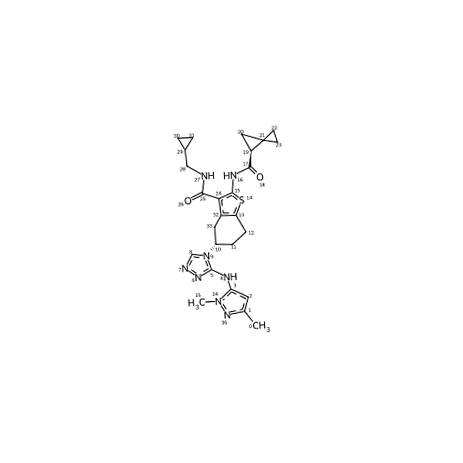 Cc1cc(Nc2nncn2[C@H]2CCc3sc(NC(=O)[C@H]4CC45CC5)c(C(=O)NCC4CC4)c3C2)n(C)n1